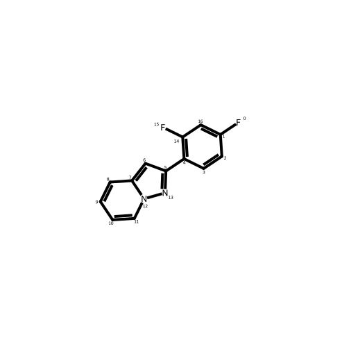 Fc1ccc(-c2cc3ccccn3n2)c(F)c1